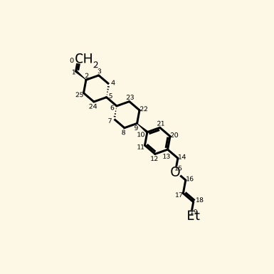 C=C[C@H]1CC[C@H]([C@H]2CC[C@H](c3ccc(COCC=CCC)cc3)CC2)CC1